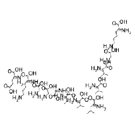 CC(C)C[C@H](N)C(=O)O.CC(C)[C@H](N)C(=O)O.CC(C)[C@H](N)C(=O)O.CC(C)[C@H](N)C(=O)O.CC(C)[C@H](N)C(=O)O.C[C@H](N)C(=O)O.NCC(=O)O.NCC(=O)O.NCC(=O)O.NCCCC[C@H](N)C(=O)O.NCCCC[C@H](N)C(=O)O.N[C@@H](CCC(=O)O)C(=O)O